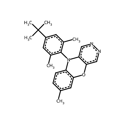 Cc1ccc2c(c1)Oc1cnncc1N2c1c(C)cc(C(C)(C)C)cc1C